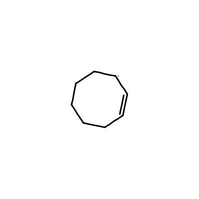 [CH]1C=CCCCCC1